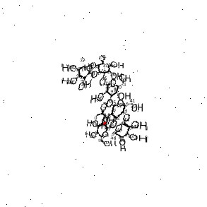 CC(=O)N[C@H]1[C@H](O[C@H]2[C@@H](O)[C@@H](CO)O[C@@H](O[C@@H]([C@H](O[C@@H]3O[C@@H](C)[C@@H](O)[C@@H](O)[C@@H]3O)[C@@H](O)C=O)[C@H](O)CO)[C@@H]2O)O[C@H](CO)[C@@H](O[C@@H]2O[C@@H](C)[C@@H](O)[C@@H](O)[C@@H]2O)[C@@H]1O[C@@H]1O[C@H](CO)[C@H](O)[C@H](O)[C@H]1O